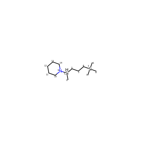 C[SiH](CCC[Si](C)(C)C)N1CCCCC1